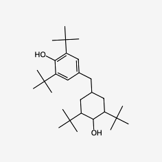 CC(C)(C)c1cc(CC2CC(C(C)(C)C)C(O)C(C(C)(C)C)C2)cc(C(C)(C)C)c1O